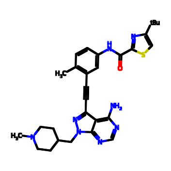 Cc1ccc(NC(=O)c2nc(C(C)(C)C)cs2)cc1C#Cc1nn(CC2CCN(C)CC2)c2ncnc(N)c12